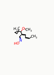 C\C=C/C=C(\C=N\O)C(OC)C1(C)CC1